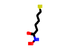 O=C(CCCCCS)NO